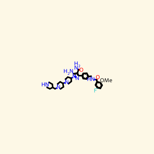 COc1ccc(F)cc1C(=O)NCc1ccc(-c2nn(C3CCN(C4CCN(CC5CCNCC5)CC4)CC3)c(N)c2C(N)=O)cc1